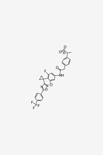 CC(c1ccc(CC(=O)Nc2cc(F)c(C3(c4noc(-c5ccc(C(F)(F)F)cc5)n4)CC3)c(Cl)c2)cc1)[SH](=O)=O